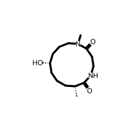 C[C@@H]1CCC[C@H](O)CCCN(C)C(=O)CCNC1=O